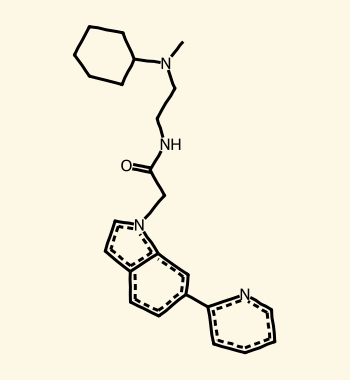 CN(CCNC(=O)Cn1ccc2ccc(-c3ccccn3)cc21)C1CCCCC1